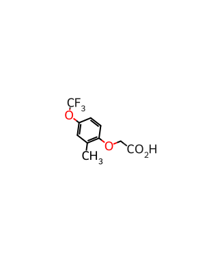 Cc1cc(OC(F)(F)F)ccc1OCC(=O)O